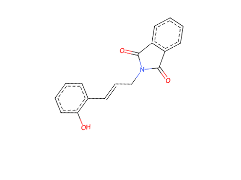 O=C1c2ccccc2C(=O)N1CC=Cc1ccccc1O